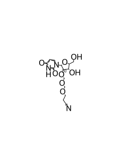 N#CCCOCOCO[C@H]1C(O)C(CO)OC1n1ccc(=O)[nH]c1=O